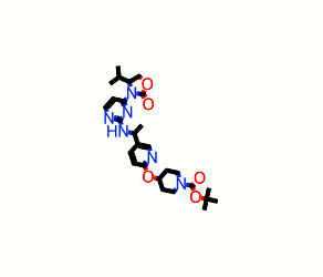 CC(Nc1nccc(N2C(=O)OCC2C(C)C)n1)c1ccc(OC2CCN(C(=O)OC(C)(C)C)CC2)nc1